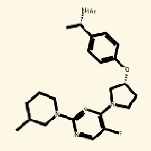 CC(=O)N[C@@H](C)c1ccc(O[C@@H]2CCN(c3nc(N4CCCC(C)C4)ncc3F)C2)cc1